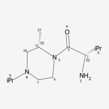 CC(C)[C@H](N)C(=O)N1CCN(C(C)C)C[C@@H]1C